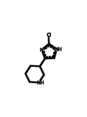 Clc1nc(C2CCCNC2)c[nH]1